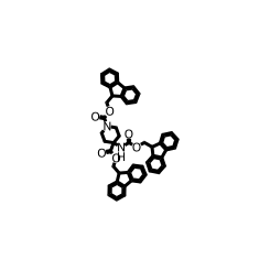 O=C(NC1(C(=O)OCC2c3ccccc3-c3ccccc32)CCN(C(=O)OCC2c3ccccc3-c3ccccc32)CC1)OCC1c2ccccc2-c2ccccc21